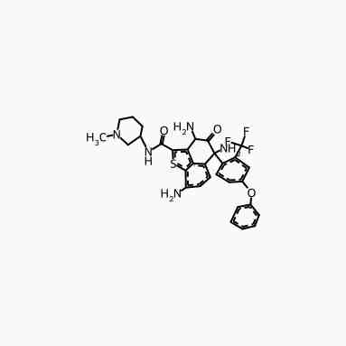 CN1CCCC(NC(=O)c2sc3c(N)ccc4c3c2C(N)C(=O)C4(N)c2ccc(Oc3ccccc3)cc2C(F)(F)F)C1